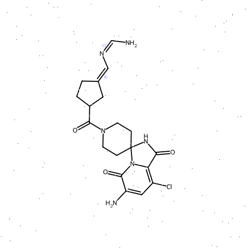 N/C=N\C=C1/CCC(C(=O)N2CCC3(CC2)NC(=O)c2c(Cl)cc(N)c(=O)n23)C1